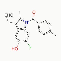 Cc1ccc(C(=O)n2c(C)c(CC=O)c3cc(O)c(F)cc32)cc1